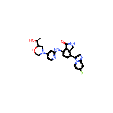 C[C@H](O)C1CN(c2ccnc(Nc3ccc(-c4cnc5cc(F)ccn45)c4c3C(=O)NC4)c2)CCO1